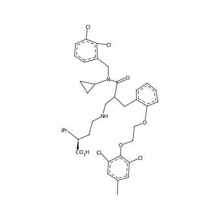 Cc1cc(Cl)c(OCCOc2ccccc2CC(CNCC[C@@H](C(=O)O)C(C)C)C(=O)N(Cc2cccc(Cl)c2Cl)C2CC2)c(Cl)c1